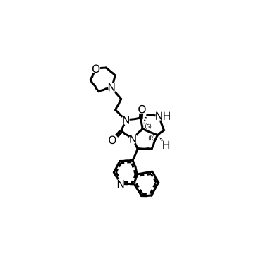 O=C1N(CCN2CCOCC2)C(=O)[C@@]23CNC[C@H]2CC(c2ccnc4ccccc24)N13